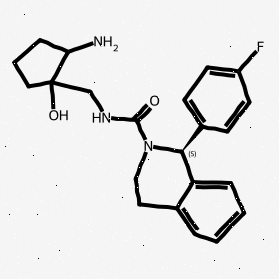 NC1CCCC1(O)CNC(=O)N1CCc2ccccc2[C@@H]1c1ccc(F)cc1